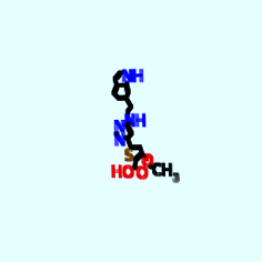 CCOc1cc(-c2cc(NCCc3ccc4cc[nH]c4c3)ncn2)sc1C(=O)O